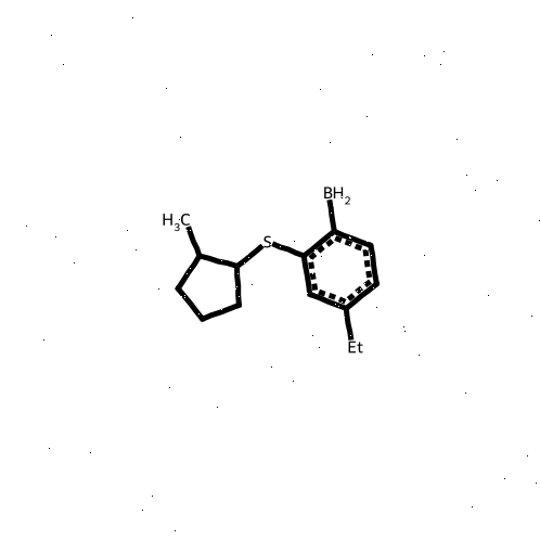 Bc1ccc(CC)cc1SC1CCCC1C